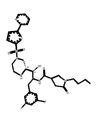 CCCCN1CC(C(=O)NC(Cc2cc(F)cc(F)c2)[C@H](O)[C@H]2CN(S(=O)(=O)c3ccc(-c4ccccn4)s3)CCN2)CC1=O